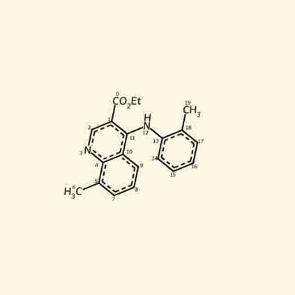 CCOC(=O)c1cnc2c(C)cccc2c1Nc1ccccc1C